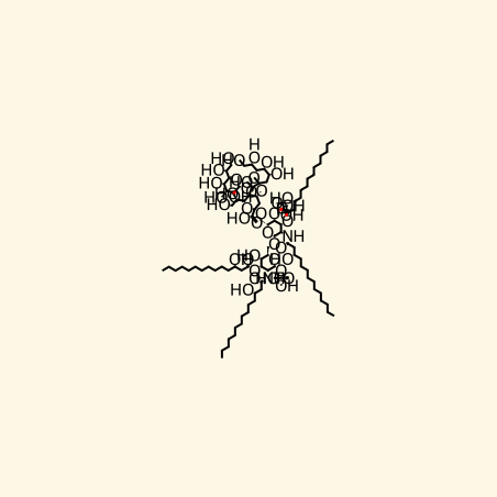 CCCCCCCCCCC[C@@H](O)CC(=O)N[C@H]1[C@H](OC[C@H]2O[C@H](OP(=O)(O)O)[C@H](NC(=O)C[C@H](O)CCCCCCCCCCC)[C@@H](OC(=O)C[C@H](O)CCCCCCCCCCC)[C@@H]2O)O[C@H](CO[C@]2(C(=O)O)C[C@@H](O[C@]3(C(=O)O)C[C@@H](O)[C@@H](O)[C@@H]([C@H](O)CO)O3)[C@@H](O[C@H]3O[C@H]([C@@H](O)CO)[C@@H](O)[C@H](O)[C@@H]3O)[C@@H]([C@H](O)CO)O2)[C@@H](OP(=O)(O)O)[C@@H]1OC(=O)C[C@H](O)CCCCCCCCCCC